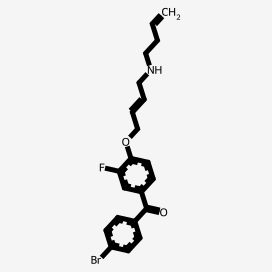 C=CCCNCC=CCOc1ccc(C(=O)c2ccc(Br)cc2)cc1F